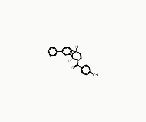 N#Cc1ccc(C(=O)N2CC[C@@H]3C[C@@H]2c2cc(-c4ccccc4)ccc23)cc1